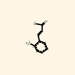 O=C(Cl)C=Cc1ccccc1C(F)(F)F